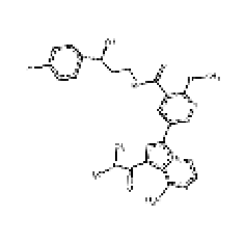 COc1ncc(-c2cc(C(=O)N(C)C)c3c(N)ncnn23)cc1C(=O)NCC[C@H](O)c1ccc(Cl)cc1